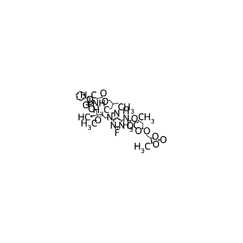 C#C[C@](CCn1cnc2c(NC(=O)OC(C)(C)CC(=O)OCc3oc(=O)oc3C)nc(F)nc21)(COP(=O)(N[C@@H](C)C(=O)OCC(CC)CC)Oc1ccccc1)OC